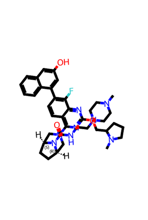 CN1CCN(CCNC(=O)N2[C@@H]3CC[C@H]2CN(c2nc(OCC4CCCN4C)nc4c(F)c(-c5cc(O)cc6ccccc56)ccc24)C3)CC1